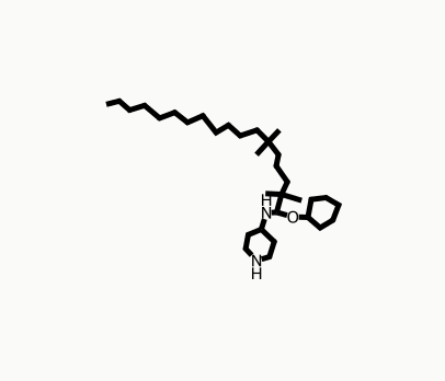 CCCCCCCCCCCCC(C)(C)CCCC(C)(C)C(NC1CCNCC1)OC1CCCCC1